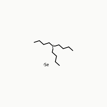 CCCCP(CCCC)CCCC.[Se]